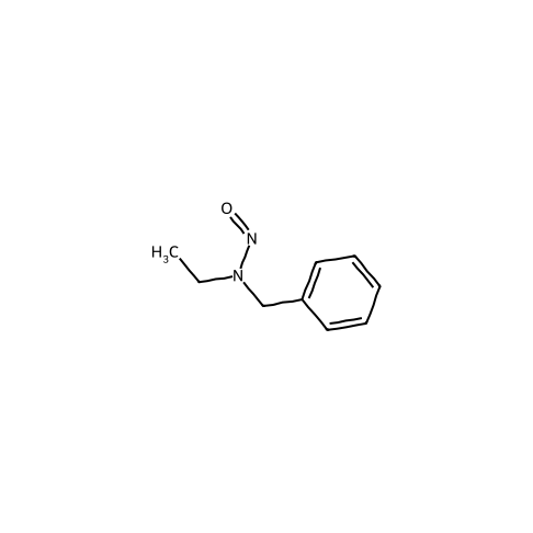 CCN(Cc1ccccc1)N=O